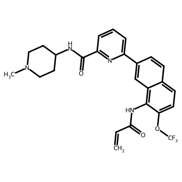 C=CC(=O)Nc1c(OC(F)(F)F)ccc2ccc(-c3cccc(C(=O)NC4CCN(C)CC4)n3)cc12